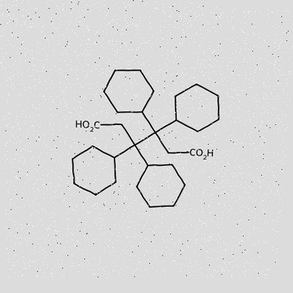 O=C(O)CC(C1CCCCC1)(C1CCCCC1)C(CC(=O)O)(C1CCCCC1)C1CCCCC1